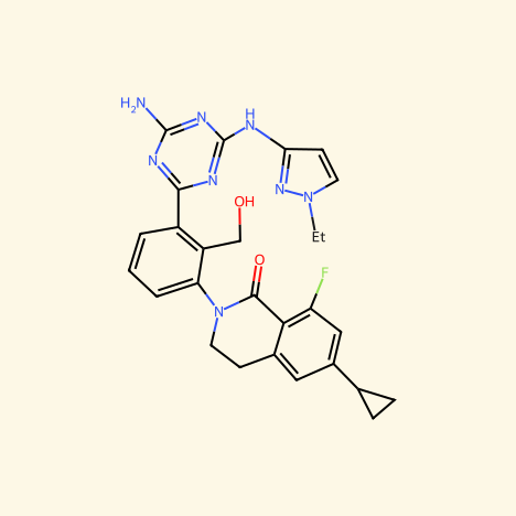 CCn1ccc(Nc2nc(N)nc(-c3cccc(N4CCc5cc(C6CC6)cc(F)c5C4=O)c3CO)n2)n1